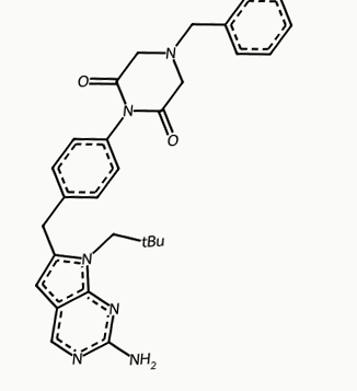 CC(C)(C)Cn1c(Cc2ccc(N3C(=O)CN(Cc4ccccc4)CC3=O)cc2)cc2cnc(N)nc21